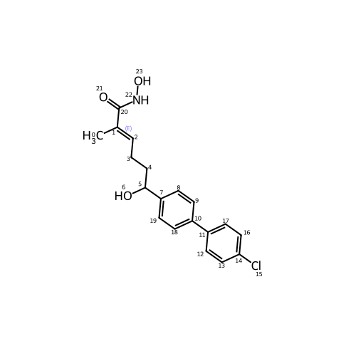 C/C(=C\CCC(O)c1ccc(-c2ccc(Cl)cc2)cc1)C(=O)NO